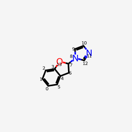 c1ccc2c(c1)CC(n1ccnc1)O2